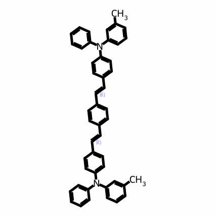 Cc1cccc(N(c2ccccc2)c2ccc(/C=C/c3ccc(/C=C/c4ccc(N(c5ccccc5)c5cccc(C)c5)cc4)cc3)cc2)c1